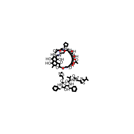 CC(C)c1nc(CN(C)C(=O)N[C@H](C(=O)N[C@@H](Cc2ccccc2)C[C@H](O)[C@H](Cc2ccccc2)NC(=O)OCc2cncs2)C(C)C)cs1.CO[C@H]1/C=C/O[C@@]2(C)Oc3c(C)c(O)c4c(O)c(c(/C=N/N5CCN(C6CCCC6)CC5)c(O)c4c3C2=O)NC(=O)/C(C)=C\C=C\[C@H](C)[C@H](O)[C@@H](C)[C@@H](O)[C@@H](C)[C@H](OC(C)=O)[C@@H]1C